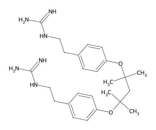 CC(C)(CC(C)(C)Oc1ccc(CCNC(=N)N)cc1)Oc1ccc(CCNC(=N)N)cc1